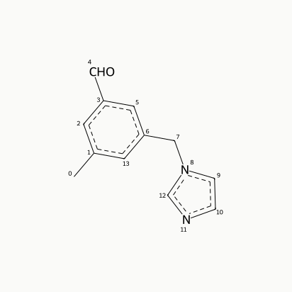 Cc1cc(C=O)cc(Cn2ccnc2)c1